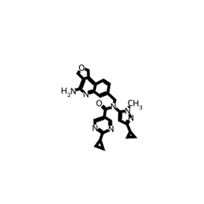 Cn1nc(C2CC2)cc1N(Cc1ccc2c3c(c(N)nc2c1)COC3)C(=O)c1cnc(C2CC2)nc1